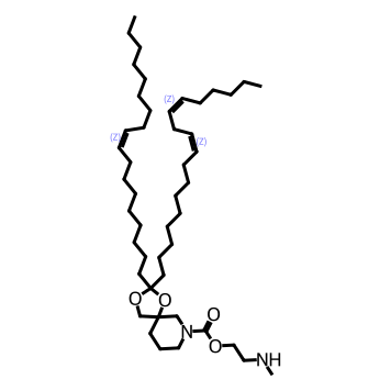 CCCCC/C=C\C/C=C\CCCCCCCCC1(CCCCCCCC/C=C\CCCCCCCC)OCC2(CCCN(C(=O)OCCNC)C2)O1